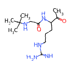 CC(=O)C(CCCNC(=N)N)NC(=O)CNC(C)(C)C